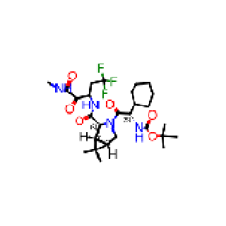 CNC(=O)C(=O)C(CC(F)(F)F)NC(=O)[C@@H]1[C@@H]2[C@H](CN1C(=O)[C@@H](NC(=O)OC(C)(C)C)C1CCCCC1)C2(C)C